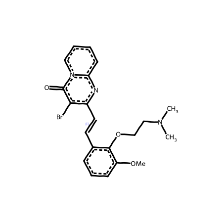 COc1cccc(/C=C/c2nc3ccccn3c(=O)c2Br)c1OCCN(C)C